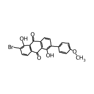 COc1ccc(-c2ccc3c(c2O)C(=O)c2ccc(Br)c(O)c2C3=O)cc1